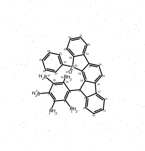 Bc1c(B)c(B)c(C2c3ccccc3-c3ccc4c(c32)P(=O)(c2ccccc2)c2ccccc2-4)c(B)c1B